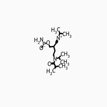 C=C(C)C(=O)N(CCC(C#[N+]C(C)C)COP(N)[O-])C(C)C